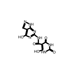 O=C(Nc1nc(O)c2cn[nH]c2n1)c1c(O)[nH]c(=O)[nH]c1=O